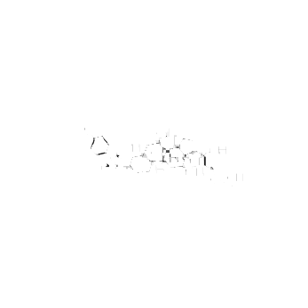 Cc1ccc(S(=O)(=O)O[C@@H]2CC[C@@]3(C)[C@@H](C2)C[C@@H](O)[C@@H]2[C@@H]3C[C@H](O)[C@]3(C)[C@@H]([C@H](C)CCC(=O)O)CC[C@@H]23)cc1